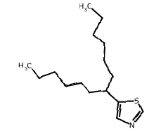 CCCCCCC(CCCCCC)c1cncs1